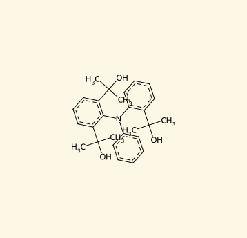 CC(C)(O)c1ccccc1N(c1ccccc1)c1c(C(C)(C)O)cccc1C(C)(C)O